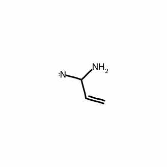 C=CC([N])N